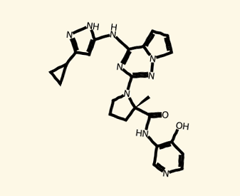 C[C@@]1(C(=O)Nc2cnccc2O)CCCN1c1nc(Nc2cc(C3CC3)n[nH]2)c2cccn2n1